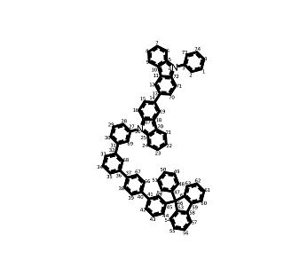 c1ccc(-n2c3ccccc3c3cc(-c4ccc5c(c4)c4ccccc4n5-c4cccc(-c5cccc(-c6ccc(-c7cccc(C8(c9ccccc9)c9ccccc9-c9ccccc98)c7)cc6)c5)c4)ccc32)cc1